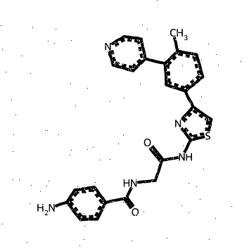 Cc1ccc(-c2csc(NC(=O)CNC(=O)c3ccc(N)cc3)n2)cc1-c1ccncc1